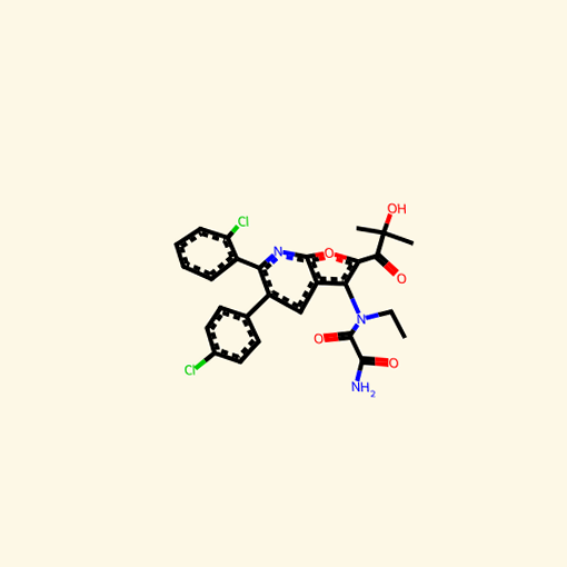 CCN(C(=O)C(N)=O)c1c(C(=O)C(C)(C)O)oc2nc(-c3ccccc3Cl)c(-c3ccc(Cl)cc3)cc12